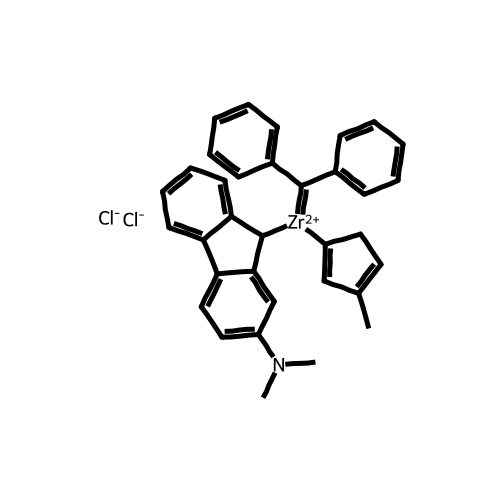 CC1=CC[C]([Zr+2](=[C](c2ccccc2)c2ccccc2)[CH]2c3ccccc3-c3ccc(N(C)C)cc32)=C1.[Cl-].[Cl-]